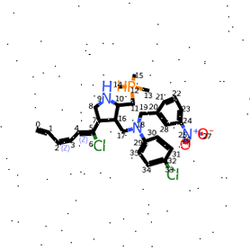 C=C/C=C\C=C(/Cl)C1CNC(C[PH](C)(C)C)C1CN(Cc1cccc([N+](=O)[O-])c1)c1ccc(Cl)cc1